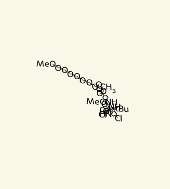 COCCOCCOCCOCCOCCOCCOCCOC(=O)OC(C)OC(=O)c1ccc(NC(=O)[C@@H]2N[C@@H](CC(C)(C)C)[C@@]3(C(=O)Nc4cc(Cl)ccc43)[C@H]2c2cccc(Cl)c2F)c(OC)c1